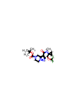 CN(C(=O)c1cnn2c1CN(C(=O)OC(C)(C)C)CC2)C1(COC(F)F)CC1